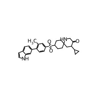 Cc1cc(S(=O)(=O)C2CCC3(CC2)CC(C2CC2)C(=O)CN3)ccc1-c1ccc2cc[nH]c2c1